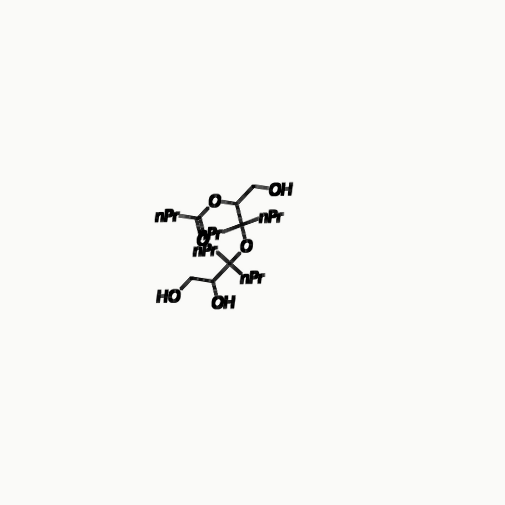 CCCC(=O)OC(CO)C(CCC)(CCC)OC(CCC)(CCC)C(O)CO